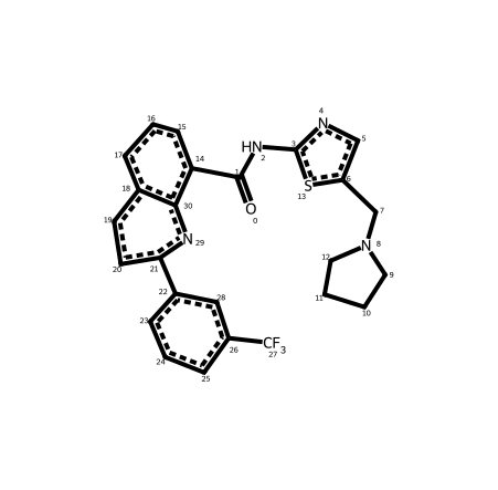 O=C(Nc1ncc(CN2CCCC2)s1)c1cccc2ccc(-c3cccc(C(F)(F)F)c3)nc12